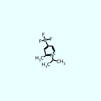 Cc1cc([B-](F)(F)F)cc[n+]1C(C)C